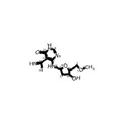 COCC1OC(Nc2nc[nH]c(=O)c2C(=N)I)CC1O